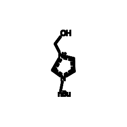 CCCCn1cc[n+](CO)c1